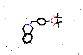 CC1(C)OB(c2ccc(CN3CCc4ccccc4C3)cc2)OC1(C)C